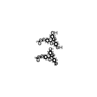 CC(=O)OCOc1ccc(C(=O)c2c(-c3ccc(O)cc3)sc3cc(O)ccc23)cc1.COc1ccc(-c2sc3cc(OC)ccc3c2C(=O)c2ccc(OCOC(C)=O)cc2)cc1